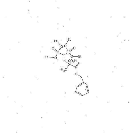 CCOP(=O)(OCC)C(CC(C)(C(=O)O)C(=O)OCc1ccccc1)P(=O)(OCC)OCC